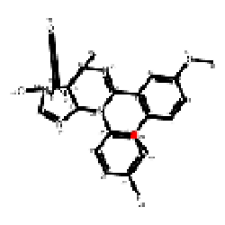 COc1ccc(OC)c(C2=NCC34C(N=C[N+]3([O-])CC(=O)N4C)N2c2ccc(F)cc2)c1